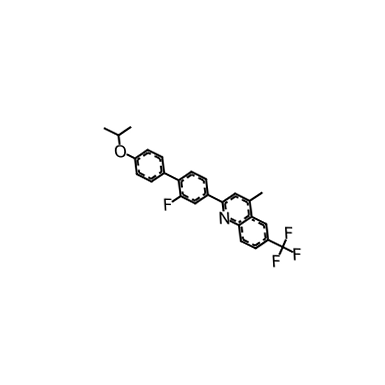 Cc1cc(-c2ccc(-c3ccc(OC(C)C)cc3)c(F)c2)nc2ccc(C(F)(F)F)cc12